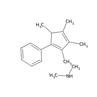 CC1=C(C)C(C)C(c2ccccc2)=C1C.CNC